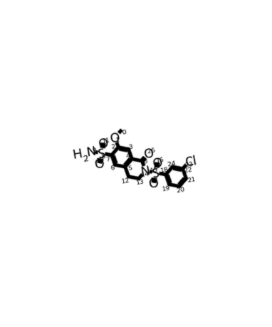 COc1cc2c(cc1S(N)(=O)=O)CCN(S(=O)(=O)c1cccc(Cl)c1)C2=O